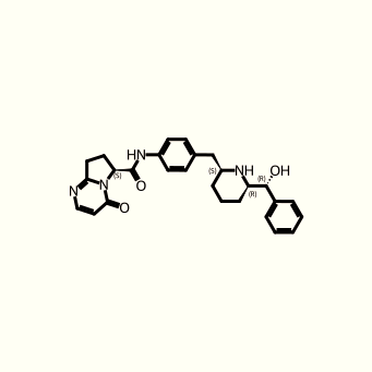 O=C(Nc1ccc(C[C@@H]2CCC[C@H]([C@H](O)c3ccccc3)N2)cc1)[C@@H]1CCc2nccc(=O)n21